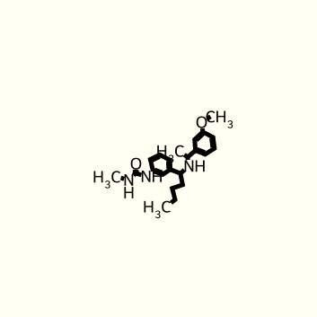 CCCCC(NC(C)c1cccc(OC)c1)c1cccc(NC(=O)NC)c1